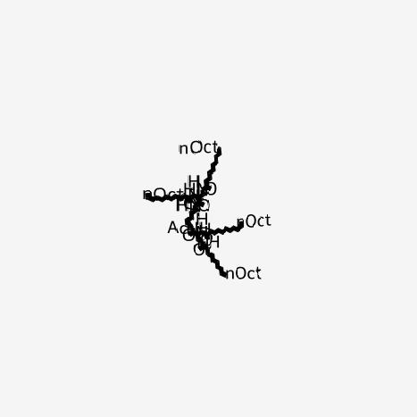 CCCCCCCC/C=C\CCCCCCCC(=O)NCC(NC(=O)CCCCCCC/C=C\CCCCCCCC)C(=O)NCCCCC(NC(=O)C(CNC(=O)CCCCCCC/C=C\CCCCCCCC)NC(=O)CCCCCCC/C=C\CCCCCCCC)C(C)=O